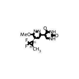 COc1nnc(-c2c[nH]c(=O)[nH]c2=O)cc1[C@@H]1[C@@H](C)C1(F)F